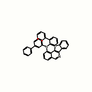 c1ccc(-c2cccc(N(c3ccccc3-c3ccccc3)c3cccc4cnc5c6ccccc6oc5c34)c2)cc1